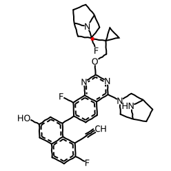 C#Cc1c(F)ccc2cc(O)cc(-c3ccc4c(N5CC6CCC(C5)N6)nc(OCC5(CN6C7CCC6CC(F)C7)CC5)nc4c3F)c12